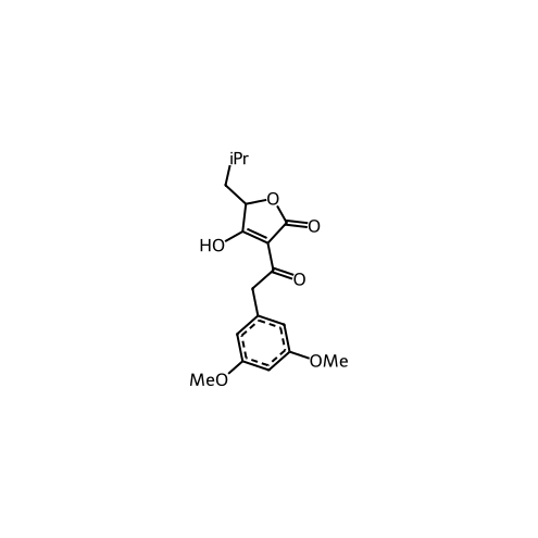 COc1cc(CC(=O)C2=C(O)C(CC(C)C)OC2=O)cc(OC)c1